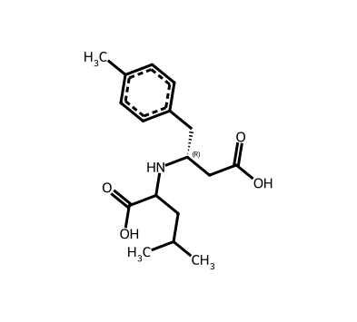 Cc1ccc(C[C@H](CC(=O)O)NC(CC(C)C)C(=O)O)cc1